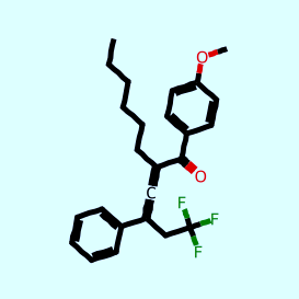 CCCCCCC(=C=C(CC(F)(F)F)c1ccccc1)C(=O)c1ccc(OC)cc1